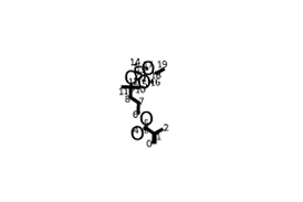 C=C(C)C(=O)OCCCC(C)(C)O[Si](C)(OC)OCC